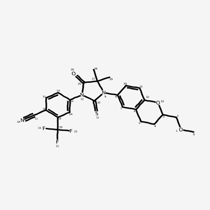 COCC1CCc2cc(N3C(=S)N(c4ccc(C#N)c(C(F)(F)F)c4)C(=O)C3(C)C)ccc2O1